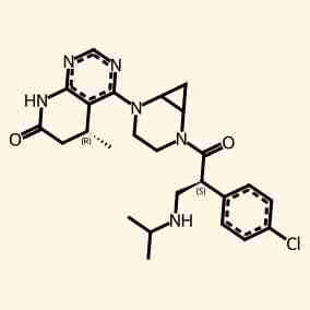 CC(C)NC[C@@H](C(=O)N1CCN(c2ncnc3c2[C@H](C)CC(=O)N3)C2CC21)c1ccc(Cl)cc1